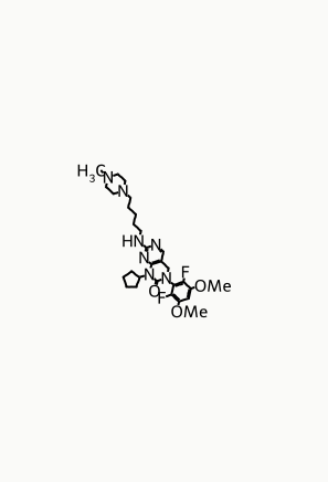 COc1cc(OC)c(F)c(N2Cc3cnc(NCCCCCN4CCN(C)CC4)nc3N(C3CCCC3)C2=O)c1F